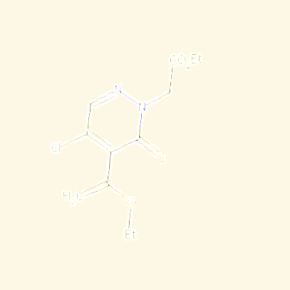 C=C(OCC)c1c(Cl)cnn(CC(=O)OCC)c1=O